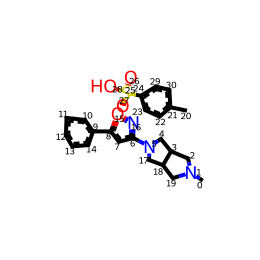 CN1CC2CN(c3cc(-c4ccccc4)on3)CC2C1.Cc1ccc(S(=O)(=O)O)cc1